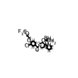 BC1(B)OC2CN(C(=O)c3ccc(OCCOC(F)(F)F)c(Cl)c3)CCC2(c2ccccn2)O1